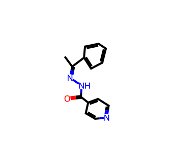 CC(=NNC(=O)c1ccncc1)c1ccccc1